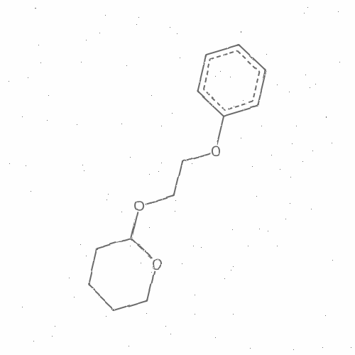 c1ccc(OCCOC2CCCCO2)cc1